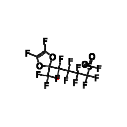 O=S(=O)(F)C(F)(F)C(F)(F)C(F)(F)C(F)(F)C1(C(F)(F)F)OC(F)=C(F)O1